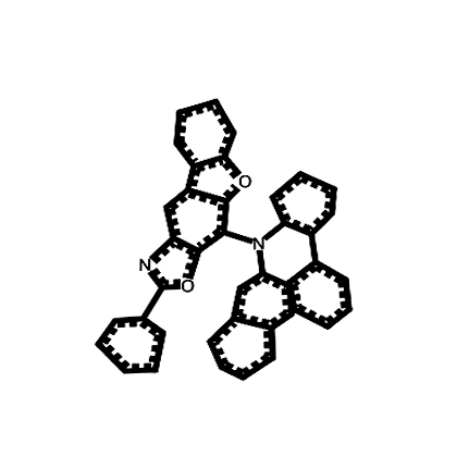 c1ccc(-c2nc3cc4c(oc5ccccc54)c(N(c4ccc5ccccc5c4)c4ccccc4-c4ccccc4)c3o2)cc1